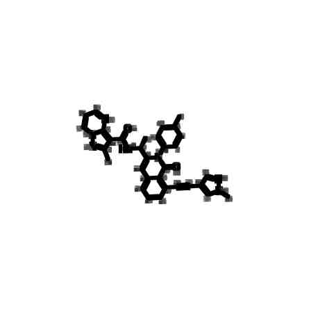 Cc1ccc(-n2c([C@H](C)NC(=O)c3c(C)nn4cccnc34)cc3cccc(C#Cc4cnn(C)c4)c3c2=O)cc1